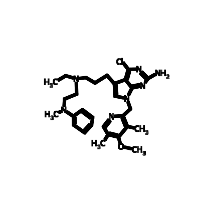 CCN(CCCc1cn(Cc2ncc(C)c(OC)c2C)c2nc(N)nc(Cl)c12)CCN(C)c1ccccc1